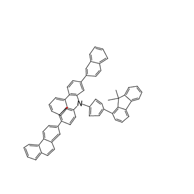 CC1(C)c2ccccc2-c2cccc(-c3ccc(N(c4ccc(-c5ccc6c(ccc7ccccc76)c5)cc4)c4cc(-c5ccc6ccccc6c5)ccc4-c4ccccc4)cc3)c21